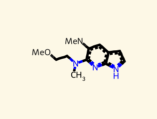 CNc1cc2cc[nH]c2nc1N(C)CCOC